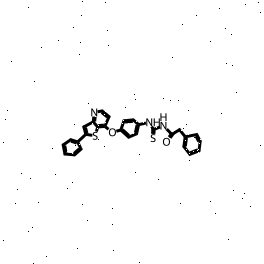 O=C(Cc1ccccc1)NC(=S)Nc1ccc(Oc2ccnc3cc(-c4ccccc4)sc23)cc1